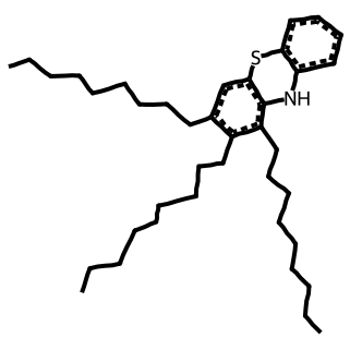 CCCCCCCCCc1cc2c(c(CCCCCCCCC)c1CCCCCCCCC)Nc1ccccc1S2